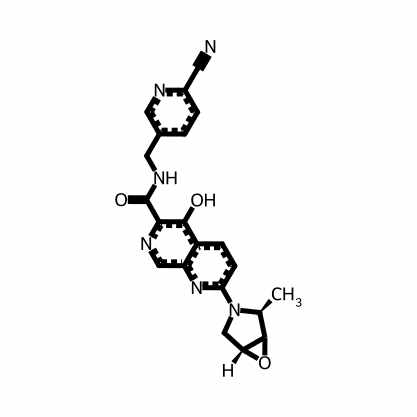 C[C@H]1C2O[C@@H]2CN1c1ccc2c(O)c(C(=O)NCc3ccc(C#N)nc3)ncc2n1